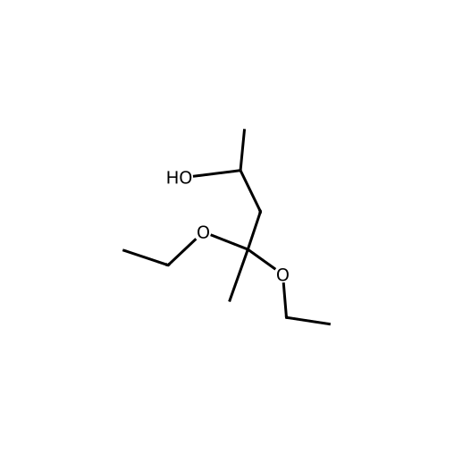 CCOC(C)(CC(C)O)OCC